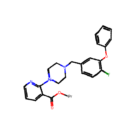 CC(C)OC(=O)c1cccnc1N1CCN(Cc2ccc(F)c(Oc3ccccc3)c2)CC1